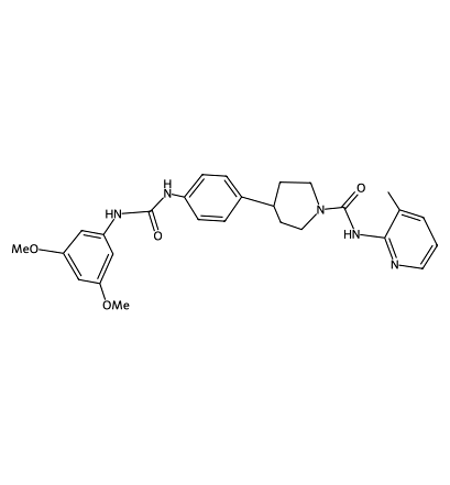 COc1cc(NC(=O)Nc2ccc(C3CCN(C(=O)Nc4ncccc4C)CC3)cc2)cc(OC)c1